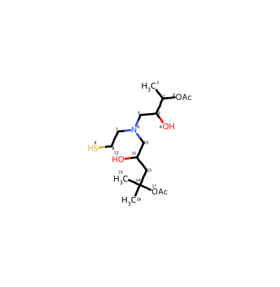 CC(=O)OC(C)C(O)CN(CCS)CC(O)CC(C)(C)OC(C)=O